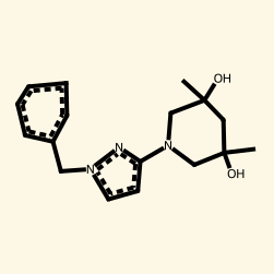 CC1(O)CN(c2ccn(Cc3ccccc3)n2)CC(C)(O)C1